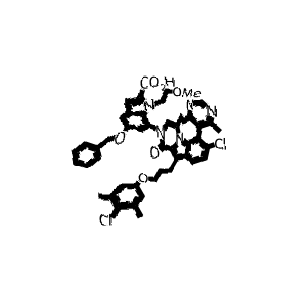 COCCn1c(C(=O)O)cc2cc(OCc3ccccc3)cc(N3CC(C)n4c(c(CCCOc5cc(C)c(Cl)c(C)c5)c5ccc(Cl)c(-c6c(C)ncnc6C)c54)C3=O)c21